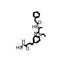 CCn1c(C(C)NC(=O)Cc2ccccc2)nc2cc(C=CC(=O)NO)ccc21